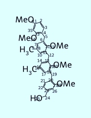 COc1ccc(Cc2cc(C)cc(Cc3cc(C)cc(Cc4ccc(CO)cc4OC)c3OC)c2OC)c(OC)c1